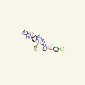 Cc1ncccc1C(=O)Nc1ccc2c(c1)nc(CN1CCC(c3cccc(OCc4ccc(Cl)cc4F)n3)CC1)n2CC1CCO1